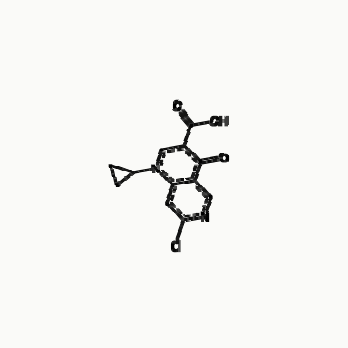 O=C(O)c1cn(C2CC2)c2cc(Cl)ncc2c1=O